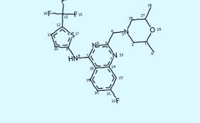 CC1CN(Cc2nc(Nc3ccc(C(F)(F)F)s3)c3ccc(F)cc3n2)CC(C)O1